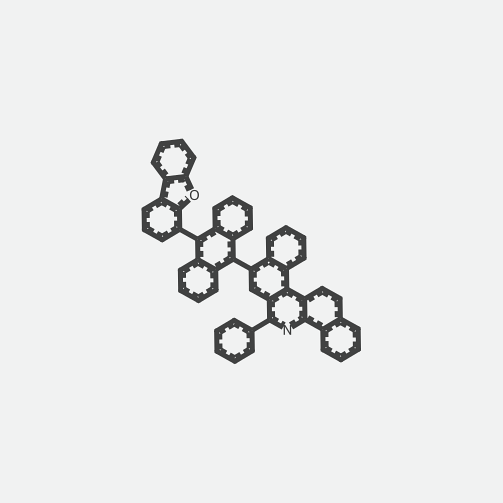 c1ccc(-c2nc3c4ccccc4ccc3c3c2cc(-c2c4ccccc4c(-c4cccc5c4oc4ccccc45)c4ccccc24)c2ccccc23)cc1